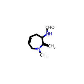 C=C1C(NC=O)CC=CCN1C